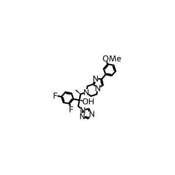 COc1cccc(-c2cn3c(n2)CN([C@H](C)[C@](O)(Cn2cncn2)c2ccc(F)cc2F)CC3)c1